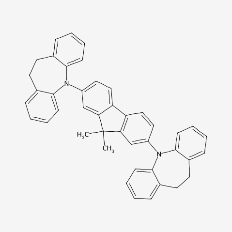 CC1(C)c2cc(N3c4ccccc4CCc4ccccc43)ccc2-c2ccc(N3c4ccccc4CCc4ccccc43)cc21